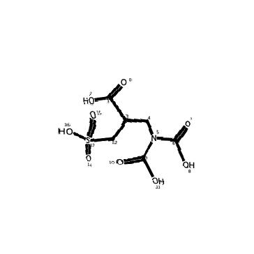 O=C(O)C(CN(C(=O)O)C(=O)O)CS(=O)(=O)O